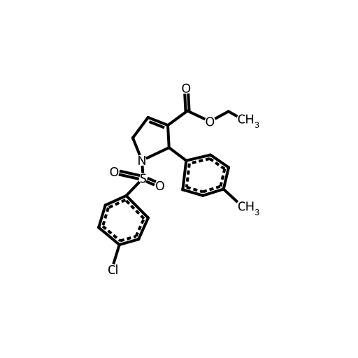 CCOC(=O)C1=CCN(S(=O)(=O)c2ccc(Cl)cc2)C1c1ccc(C)cc1